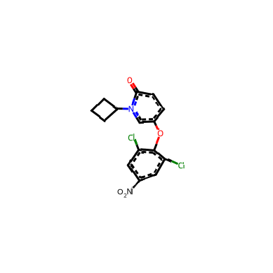 O=c1ccc(Oc2c(Cl)cc([N+](=O)[O-])cc2Cl)cn1C1CCC1